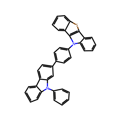 c1ccc(-n2c3ccccc3c3ccc(-c4ccc(-n5c6ccccc6c6sc7ccccc7c65)cc4)cc32)cc1